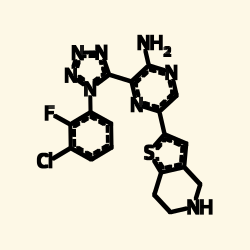 Nc1ncc(-c2cc3c(s2)CCNC3)nc1-c1nnnn1-c1cccc(Cl)c1F